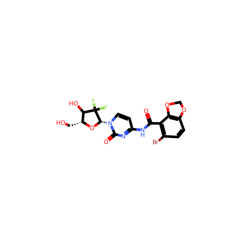 O=C(Nc1ccn([C@@H]2O[C@H](CO)C(O)C2(F)F)c(=O)n1)c1c(Br)ccc2c1OCO2